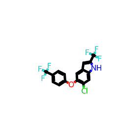 FC(F)(F)c1ccc(Oc2cc3cc(C(F)(F)F)[nH]c3cc2Cl)cc1